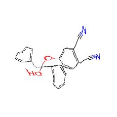 N#Cc1ccc(OC(O)(c2ccccc2)c2ccccc2)cc1C#N